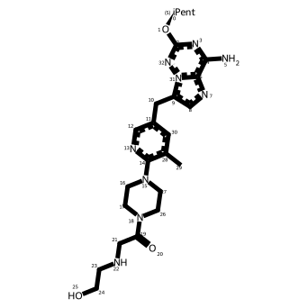 CCC[C@H](C)Oc1nc(N)c2ncc(Cc3cnc(N4CCN(C(=O)CNCCO)CC4)c(C)c3)n2n1